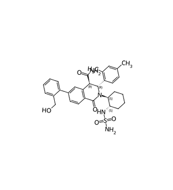 Cc1ccc([C@H]2[C@H](C(N)=O)c3cc(-c4ccccc4CO)ccc3C(=O)N2[C@H]2CCCC[C@@H]2NS(N)(=O)=O)c(C)c1